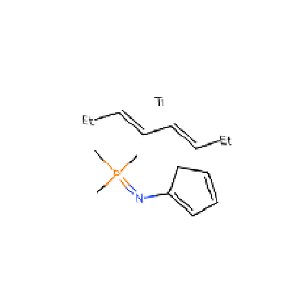 CCC=CC=CCC.CP(C)(C)=NC1=CC=CC1.[Ti]